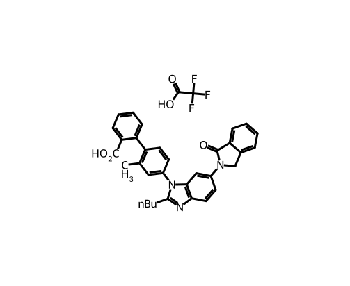 CCCCc1nc2ccc(N3Cc4ccccc4C3=O)cc2n1-c1ccc(-c2ccccc2C(=O)O)c(C)c1.O=C(O)C(F)(F)F